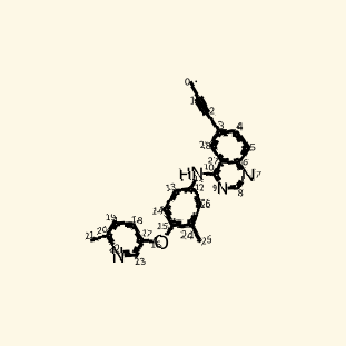 [CH2]C#Cc1ccc2ncnc(Nc3ccc(Oc4ccc(C)nc4)c(C)c3)c2c1